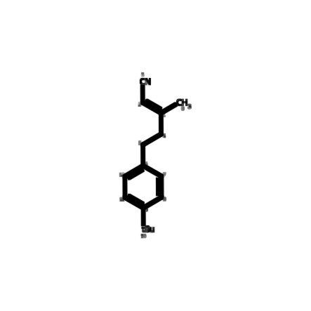 CC(=CC#N)CCc1ccc(C(C)(C)C)cc1